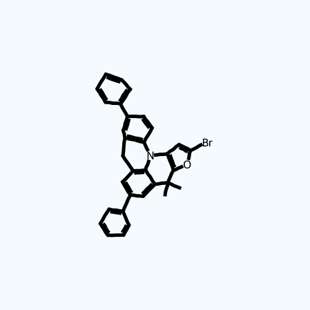 CC1(C)c2cc(-c3ccccc3)cc3c2N(c2ccc(-c4ccccc4)cc2C3)c2cc(Br)oc21